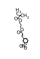 C=C(C)C(=O)OCCCOC(=O)/C=C/c1cccc([N+](=O)[O-])c1